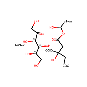 CCCCCCCCCC(O)OC(=O)CC(O)(CC(=O)[O-])C(=O)[O-].O=C(CO)[C@H](O)[C@@H](O)[C@H](O)CO.[Na+].[Na+]